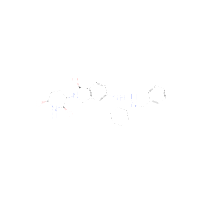 O=C1CCC(N2Cc3cc(N[C@H]4CCCC[C@H]4NCc4ccccc4)ccc3C2=O)C(=O)N1